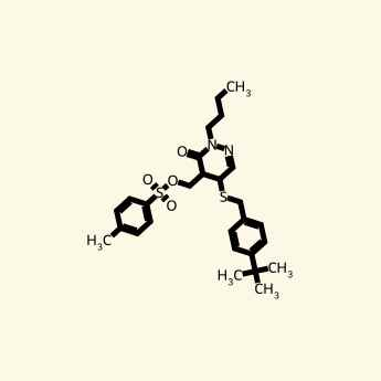 CCCCN1N=CC(SCc2ccc(C(C)(C)C)cc2)C(COS(=O)(=O)c2ccc(C)cc2)C1=O